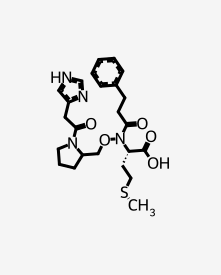 CSCC[C@@H](C(=O)O)N(OCC1CCCN1C(=O)Cc1c[nH]cn1)C(=O)CCc1ccccc1